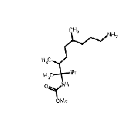 COC(=O)NC(C)(C(C)C)C(C)CCC(C)CCCN